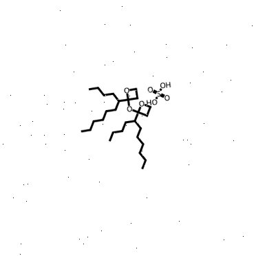 CCCCCCC(CCCC)C1(OC2(C(CCCC)CCCCCC)CCO2)CCO1.O=S(=O)(O)O